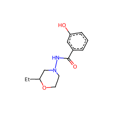 CCC1CN(NC(=O)c2cccc(O)c2)CCO1